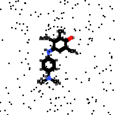 CC(=O)NC1=C(C)C(=O)C(C)=CC1=Nc1ccc(N(C)C)cc1